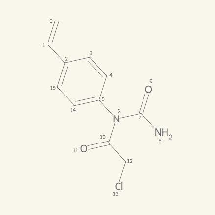 C=Cc1ccc(N(C(N)=O)C(=O)CCl)cc1